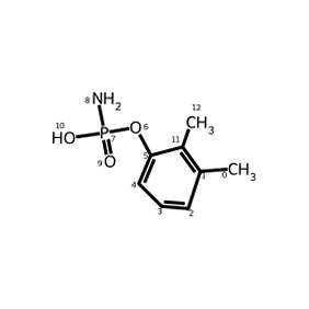 Cc1cccc(OP(N)(=O)O)c1C